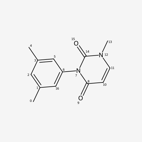 Cc1cc(C)cc(-n2c(=O)ccn(C)c2=O)c1